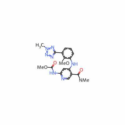 CNC(=O)c1cnc(NC(=O)OC)cc1Nc1cccc(-c2nnn(C)n2)c1OC